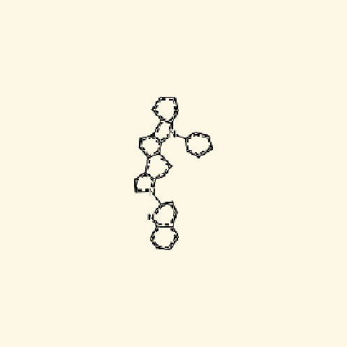 c1ccc(-n2c3ccccc3c3ccc4c5ccn(-c6ccc7ccccc7n6)c5ccc4c32)cc1